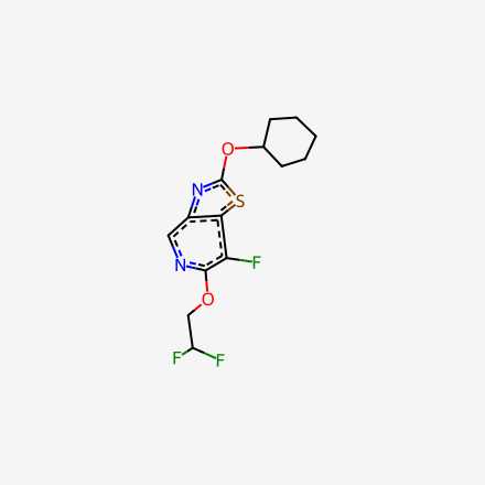 Fc1c(OCC(F)F)ncc2nc(OC3CCCCC3)sc12